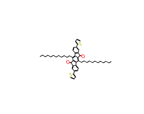 CCCCCCCCCCCCc1c2c(=O)c3cc(-c4cccs4)ccc3c2c(CCCCCCCCCCCC)c2c(=O)c3cc(-c4cccs4)ccc3c12